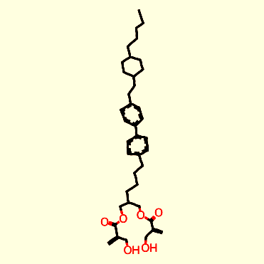 C=C(CO)C(=O)OCC(CCCCc1ccc(-c2ccc(CCC3CCC(CCCCC)CC3)cc2)cc1)COC(=O)C(=C)CO